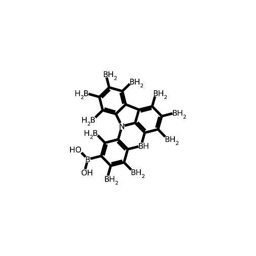 Bc1c(B)c(B(O)O)c(B)c2c1Bc1c(B)c(B)c(B)c3c4c(B)c(B)c(B)c(B)c4n-2c13